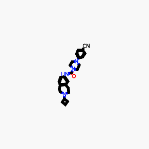 N#Cc1ccc(N2CCN(C(=O)Nc3ccc4c(c3)CCN(C3CCC3)CC4)CC2)cc1